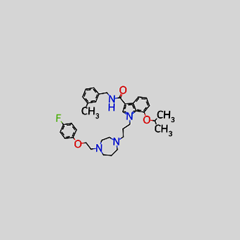 Cc1cccc(CNC(=O)c2cn(CCCN3CCCN(CCOc4ccc(F)cc4)CC3)c3c(OC(C)C)cccc23)c1